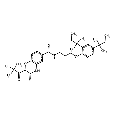 CCC(C)(C)c1ccc(OCCCNC(=O)c2ccc3c(c2)NC(=O)C(C(=O)C(C)(C)C)O3)c(C(C)(C)CC)c1